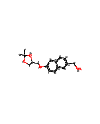 CC1(C)OCC(COc2ccc3cc(CO)ccc3c2)O1